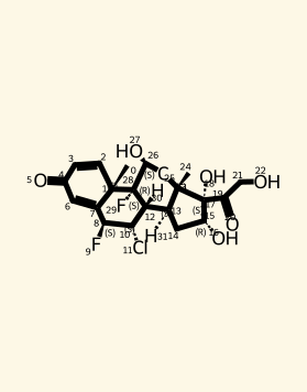 C[C@]12C=CC(=O)C=C1[C@H](F)[C@@H](Cl)[C@H]1[C@@H]3C[C@@H](O)[C@](O)(C(=O)CO)[C@@]3(C)C[C@H](O)[C@@]12F